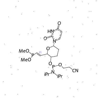 COP(/C=C/C1OC(n2ccc(=O)[nH]c2=O)CCC1OP(OCCC#N)N(C(C)C)C(C)C)OC